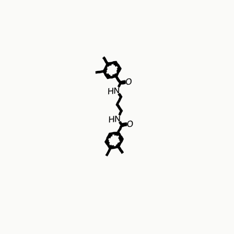 Cc1ccc(C(=O)NCCCNC(=O)c2ccc(C)c(C)c2)cc1C